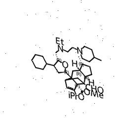 CCN(CCN1CCC(C)CC1)C[C@@H]1O[C@@H](C23C[C@@H]4[C@H](C)CC[C@H]4C4(C=O)CC2C=C(C(C)C)[C@]43C(=O)OC)CC1C1CCCCC1